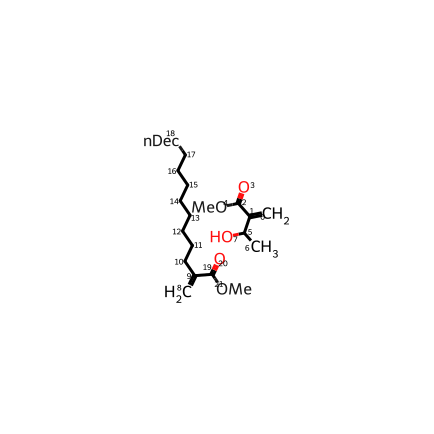 C=C(C(=O)OC)C(C)O.C=C(CCCCCCCCCCCCCCCCCC)C(=O)OC